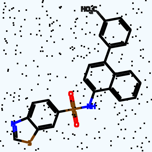 O=C(O)c1cccc(-c2ccc(NS(=O)(=O)c3ccc4ncsc4c3)c3ccccc23)c1